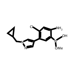 CON(O)c1cc(-c2cnn(CC3CC3)c2)c(Cl)cc1N